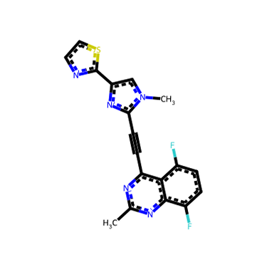 Cc1nc(C#Cc2nc(-c3nccs3)cn2C)c2c(F)ccc(F)c2n1